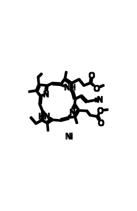 CCC1=C(C)c2cc3[nH]c(cc4nc(c(C=CC#N)c5[nH]c(cc1n2)c(C)c5CCC(=O)OC)C(CCC(=O)OC)=C4C)c(C)c3CC.[Ni]